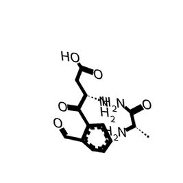 C[C@H](N)C(N)=O.N[C@@H](CC(=O)O)C(=O)c1ccccc1C=O